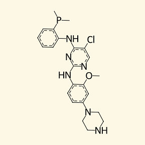 COc1cc(N2CCNCC2)ccc1Nc1ncc(Cl)c(Nc2ccccc2P(C)C)n1